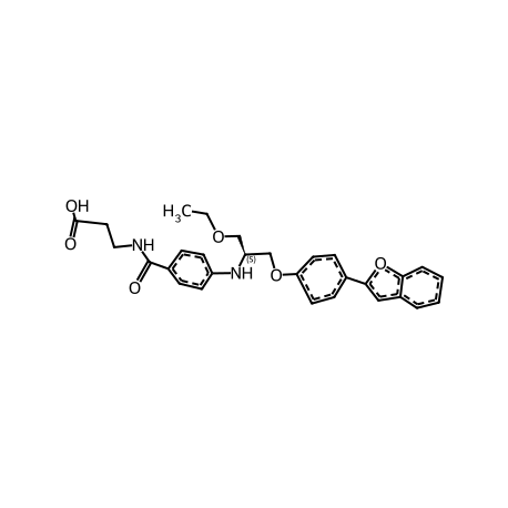 CCOC[C@@H](COc1ccc(-c2cc3ccccc3o2)cc1)Nc1ccc(C(=O)NCCC(=O)O)cc1